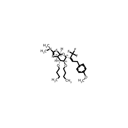 CCCCO[C@@H]1[C@H]2N=C(N(C)C)S[C@H]2O[C@H](C(=CCc2ccc(OC)cc2)C(F)(F)F)[C@H]1OCCCC